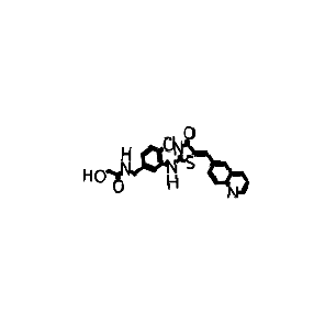 O=C(CO)NCc1ccc(Cl)c(NC2=NC(=O)/C(=C/c3ccc4ncccc4c3)S2)c1